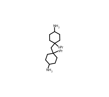 CCCC1(CC2(CCC)CCC(N)CC2)CCC(N)CC1